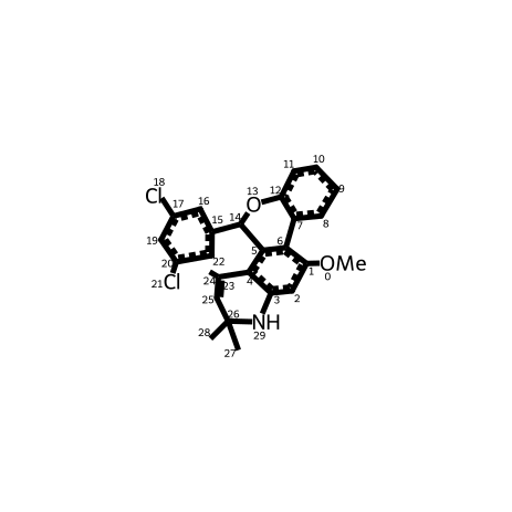 COc1cc2c(c3c1-c1ccccc1OC3c1cc(Cl)cc(Cl)c1)C(C)=CC(C)(C)N2